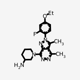 CCOc1ccc(-n2nc3c(N4CCCC(N)C4)nnc(C)c3c2C)c(F)c1